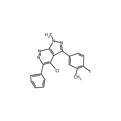 Cc1cc(-c2nn(C)c3nnc(-c4ccccc4)c(Cl)c23)ccc1I